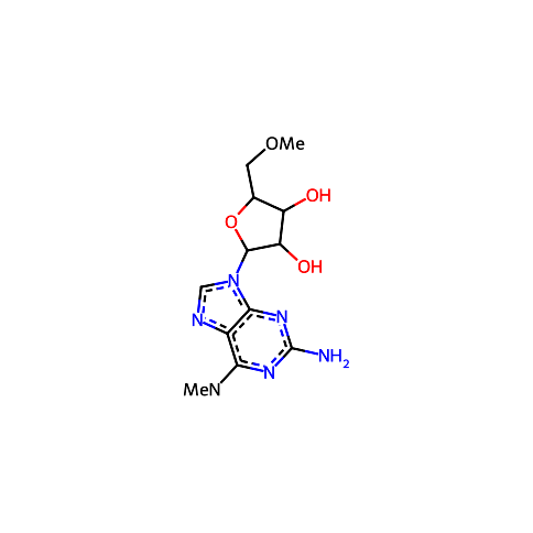 CNc1nc(N)nc2c1ncn2C1OC(COC)C(O)C1O